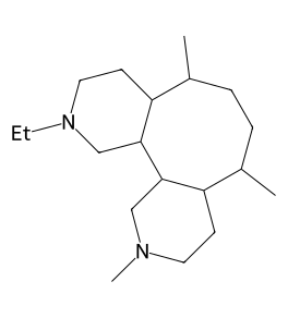 CCN1CCC2C(C)CCC(C)C3CCN(C)CC3C2C1